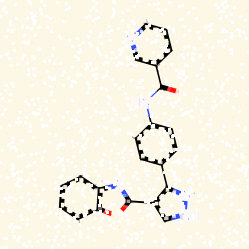 O=C(Nc1ccc(-c2n[nH]cc2-c2nc3ccccc3o2)cc1)c1cccnc1